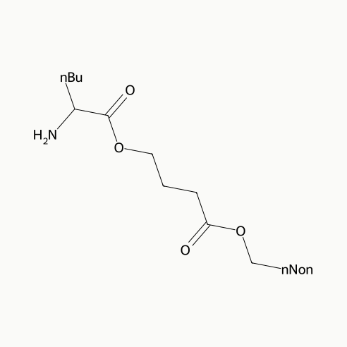 CCCCCCCCCCOC(=O)CCCOC(=O)C(N)CCCC